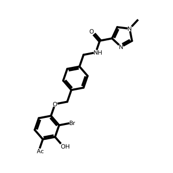 CC(=O)c1ccc(OCc2ccc(CNC(=O)c3cn(C)cn3)cc2)c(Br)c1O